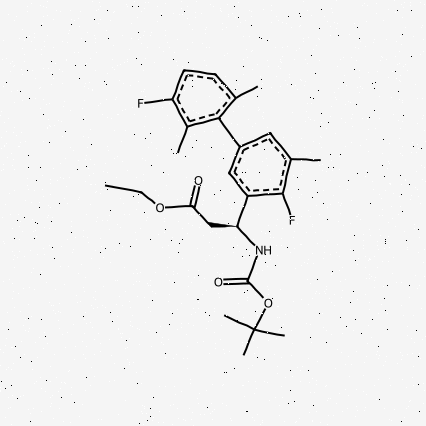 CCOC(=O)C[C@H](NC(=O)OC(C)(C)C)c1cc(-c2c(C)ccc(F)c2C)cc(C)c1F